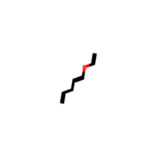 C=CCC=COC=C